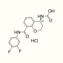 Cl.O=C(O)N[C@H]1CCOc2c(C(=O)Nc3ccc(F)c(F)c3)cccc21